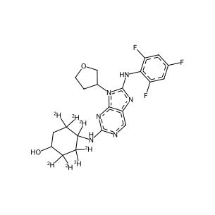 [2H]C1([2H])CC(O)C([2H])([2H])C([2H])([2H])C1([2H])Nc1ncc2nc(Nc3c(F)cc(F)cc3F)n(C3CCOC3)c2n1